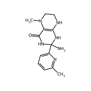 Cc1cccc(C2(N)NC(=O)C3=C(NCCN3C)N2)n1